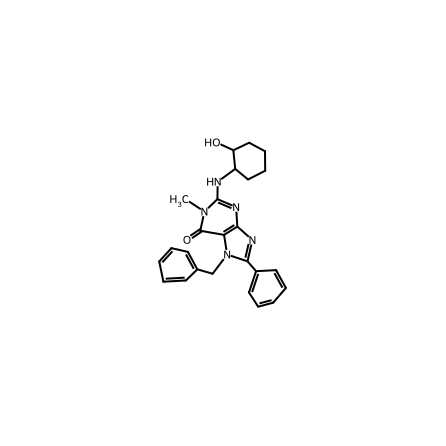 Cn1c(NC2CCCCC2O)nc2nc(-c3ccccc3)n(Cc3ccccc3)c2c1=O